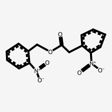 O=C(Cc1ccccc1[N+](=O)[O-])OCc1ccccc1[N+](=O)[O-]